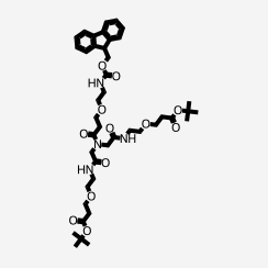 CC(C)(C)OC(=O)CCOCCNC(=O)CN(CC(=O)NCCOCCC(=O)OC(C)(C)C)C(=O)CCOCCNC(=O)OCC1c2ccccc2-c2ccccc21